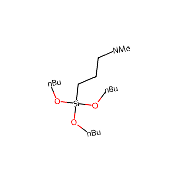 CCCCO[Si](CCCNC)(OCCCC)OCCCC